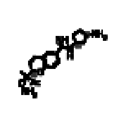 CC(=O)[C@@](C)(ON)[C@H]1CCc2cc(C(=N)N[C@H]3CC[C@H](N)C3)ccc2O1